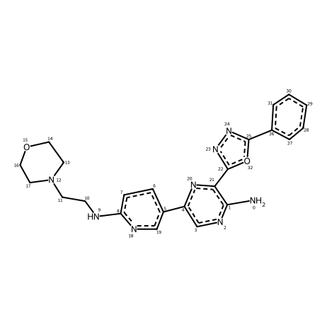 Nc1ncc(-c2ccc(NCCN3CCOCC3)nc2)nc1-c1nnc(-c2ccccc2)o1